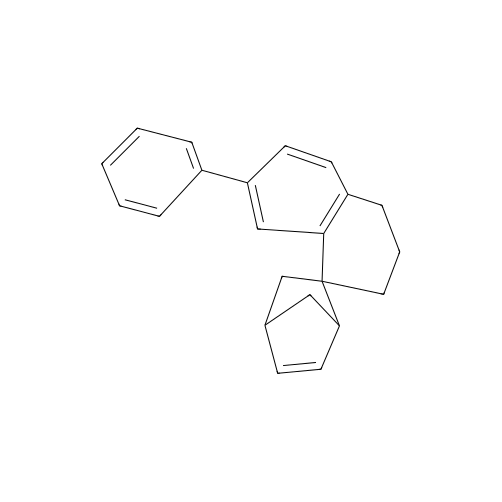 C1=CC2CC1CC21CCCc2ccc(-c3ccccc3)cc21